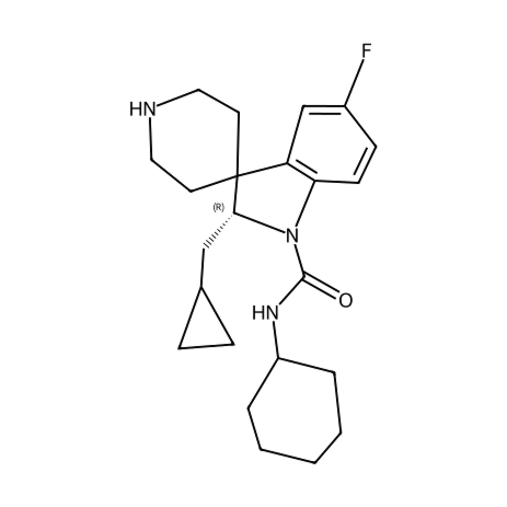 O=C(NC1CCCCC1)N1c2ccc(F)cc2C2(CCNCC2)[C@H]1CC1CC1